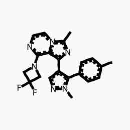 Cc1ccc(-c2c(-c3nc(C)n4ccnc(N5CC(F)(F)C5)c34)cnn2C)cc1